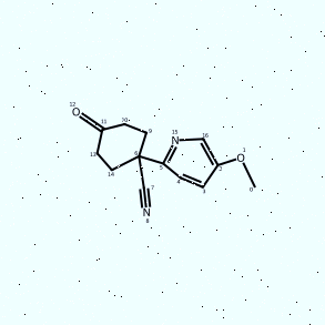 COc1ccc(C2(C#N)CCC(=O)CC2)nc1